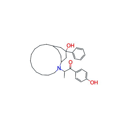 CC(C(=O)c1ccc(O)cc1)N1CCCCCCCCCCC2CCC1CC(O)(c1ccccc1)C2